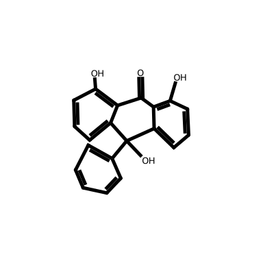 O=C1c2c(O)cccc2C(O)(c2ccccc2)c2cccc(O)c21